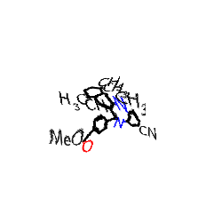 COC(=O)c1ccc(C2=Nc3cc(C#N)ccc3N(C)c3cc4c(cc32)C(C)(C)CCC4(C)C)cc1